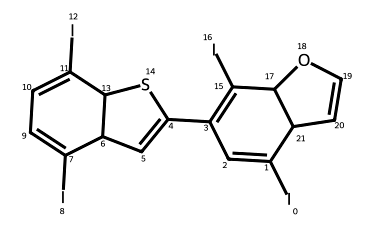 IC1=CC(C2=CC3C(I)=CC=C(I)C3S2)=C(I)C2OC=CC12